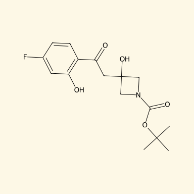 CC(C)(C)OC(=O)N1CC(O)(CC(=O)c2ccc(F)cc2O)C1